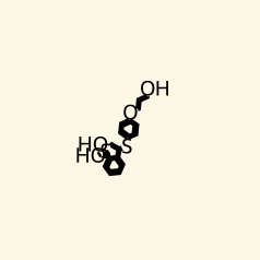 OCCCOc1ccc(SC2CS(O)(O)c3ccccc32)cc1